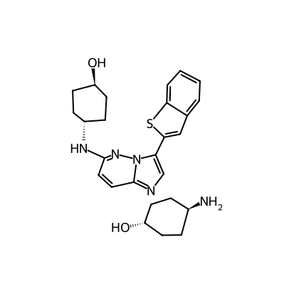 N[C@H]1CC[C@H](O)CC1.O[C@H]1CC[C@H](Nc2ccc3ncc(-c4cc5ccccc5s4)n3n2)CC1